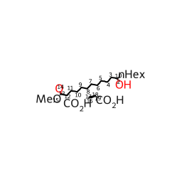 CCCCCCC(O)CCCCCCCCCCC(=O)OC.O=C(O)/C=C\C(=O)O